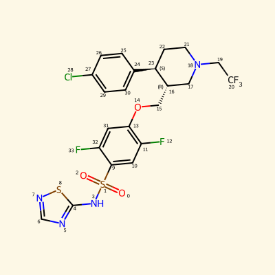 O=S(=O)(Nc1ncns1)c1cc(F)c(OC[C@H]2CN(CC(F)(F)F)CC[C@@H]2c2ccc(Cl)cc2)cc1F